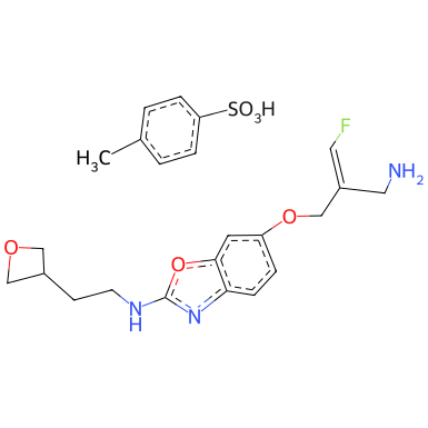 Cc1ccc(S(=O)(=O)O)cc1.NCC(=CF)COc1ccc2nc(NCCC3COC3)oc2c1